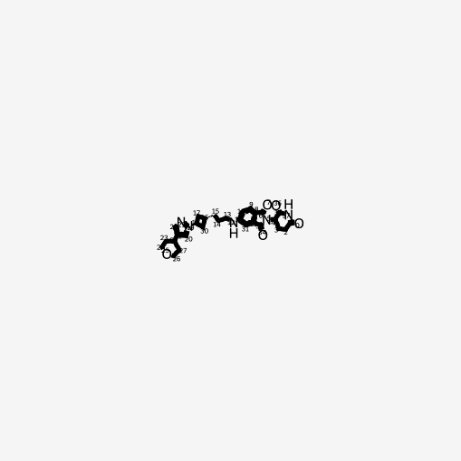 O=C1CCC(N2C(=O)c3ccc(NCCC[C@H]4C[C@H](n5cc(C6CCOCC6)cn5)C4)cc3C2=O)C(=O)N1